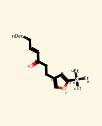 CCCCCCCCCCC/C=C/C(=O)CCc1coc([Si](CC)(CC)CC)c1